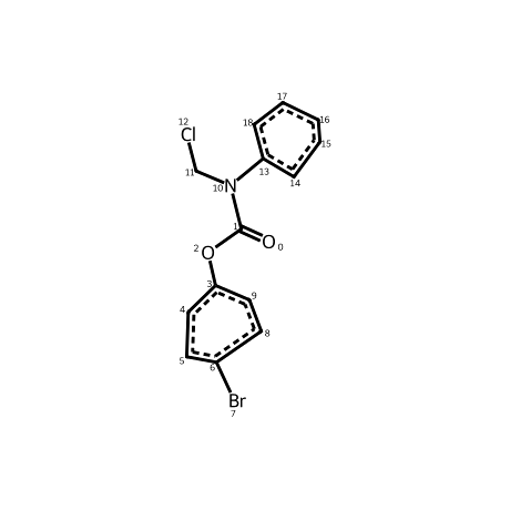 O=C(Oc1ccc(Br)cc1)N(CCl)c1ccccc1